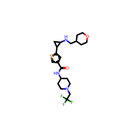 O=C(NC1CCN(CC(F)(F)F)CC1)c1csc(C2CC2NCC2CCOCC2)c1